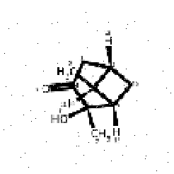 C[C@@H]1[C@@H]2CC(=O)[C@@](C)(O)[C@H]1C2